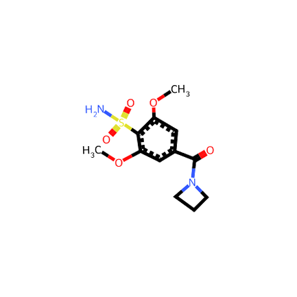 COc1cc(C(=O)N2CCC2)cc(OC)c1S(N)(=O)=O